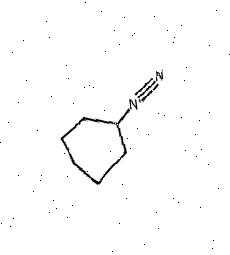 N#[N+]C1CCCCC1